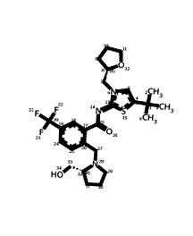 CC(C)(C)c1cn(C[C@H]2CCCO2)c(=NC(=O)c2cc(C(F)(F)F)ccc2CN2CCC[C@@H]2CO)s1